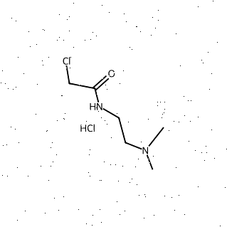 CN(C)CCNC(=O)CCl.Cl